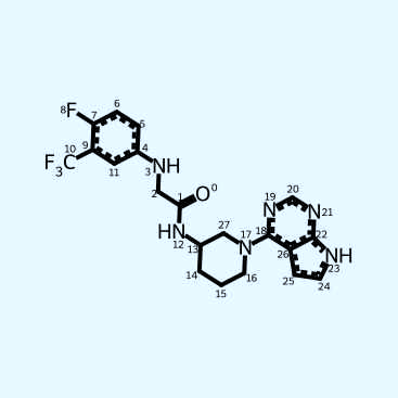 O=C(CNc1ccc(F)c(C(F)(F)F)c1)NC1CCCN(c2ncnc3[nH]ccc23)C1